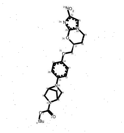 CC(C)(C)OC(=O)N1CC2CC1CN2c1ccc(OC[C@@H]2CCn3cc([N+](=O)[O-])nc3O2)cc1